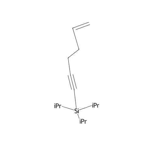 C=CCCC#C[Si](C(C)C)(C(C)C)C(C)C